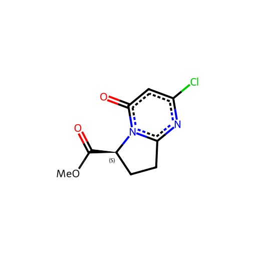 COC(=O)[C@@H]1CCc2nc(Cl)cc(=O)n21